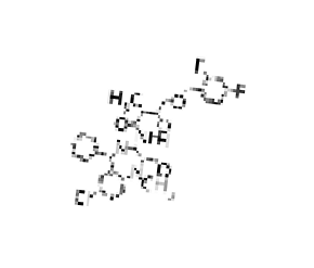 CC(C(=O)NC1N=C(c2ccccc2)c2cc(Cl)ccc2N(C)C1C=O)C(O)COCc1ccc(F)cc1F